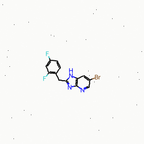 Fc1ccc(Cc2nc3ncc(Br)cc3[nH]2)c(F)c1